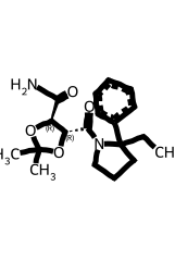 CCC1(c2ccccc2)CCCN1C(=O)[C@@H]1OC(C)(C)O[C@H]1C(N)=O